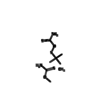 C.CC(C)(C)SOC(N)=S.COC(N)=S